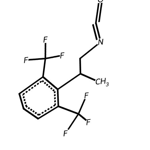 CC(CN=C=O)c1c(C(F)(F)F)cccc1C(F)(F)F